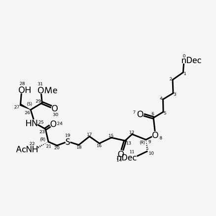 CCCCCCCCCCCCCCCC(=O)O[C@H](CCCCCCCCCCC)CC(=O)CCCCSC[C@H](NC(C)=O)C(=O)N[C@@H](CO)C(=O)OC